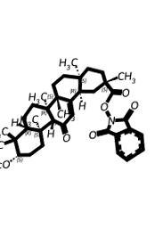 CC(=O)O[C@H]1CC[C@]2(C)[C@H]3C(=O)C=C4[C@@H]5C[C@@](C)(C(=O)ON6C(=O)c7ccccc7C6=O)CC[C@]5(C)CC[C@@]4(C)[C@]3(C)CC[C@H]2C1(C)C